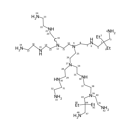 CCC(CC)(CN)CNCCN(CCN(CCNCCN)CCNCCN)CCN(CCNCCN)CCNCCN(CCN)CC(CC)(CC)CN